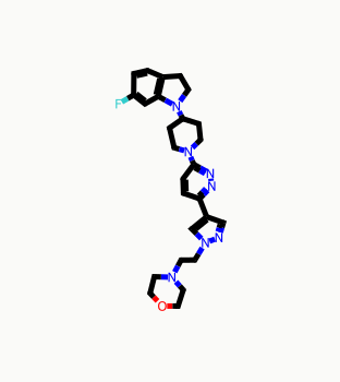 Fc1ccc2c(c1)N(C1CCN(c3ccc(-c4cnn(CCN5CCOCC5)c4)nn3)CC1)CC2